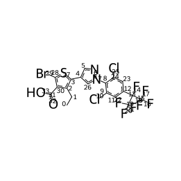 CCc1c(-c2cnn(-c3c(Cl)cc(C(F)(C(F)(F)F)C(F)(F)F)cc3Cl)c2)sc(Br)c1C(=O)O